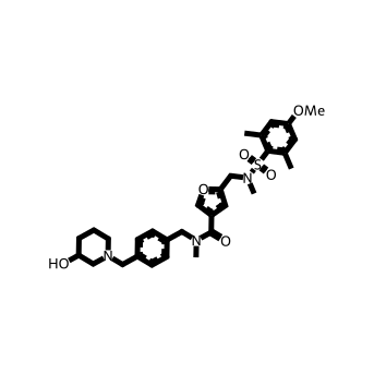 COc1cc(C)c(S(=O)(=O)N(C)Cc2cc(C(=O)N(C)Cc3ccc(CN4CCCC(O)C4)cc3)co2)c(C)c1